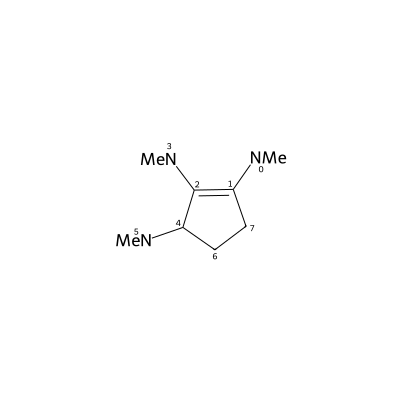 CNC1=C(NC)C(NC)CC1